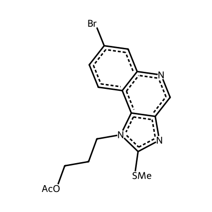 CSc1nc2cnc3cc(Br)ccc3c2n1CCCOC(C)=O